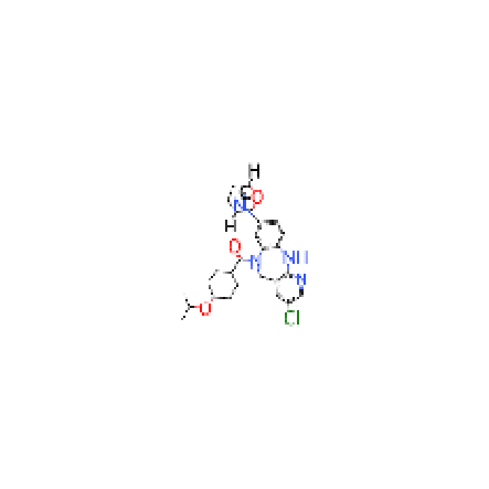 CC(C)OC1CCC(C(=O)N2Cc3cc(Cl)cnc3Nc3ccc(N4C[C@@H]5CC[C@H]4CO5)cc32)CC1